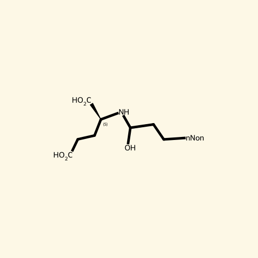 CCCCCCCCCCCC(O)N[C@@H](CCC(=O)O)C(=O)O